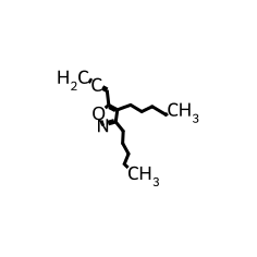 C=C=Cc1onc(CCCCC)c1CCCCC